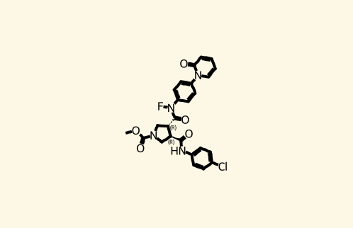 COC(=O)N1C[C@H](C(=O)Nc2ccc(Cl)cc2)[C@@H](C(=O)N(F)c2ccc(-n3ccccc3=O)cc2)C1